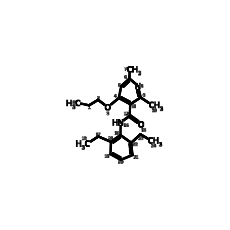 CCCOc1cc(C)nc(C)c1C(=O)Nc1c(CC)cccc1CC